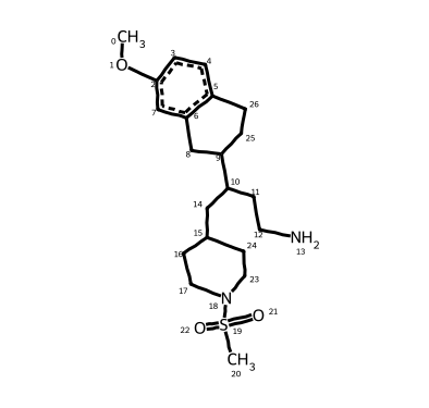 COc1ccc2c(c1)CC(C(CCN)CC1CCN(S(C)(=O)=O)CC1)CC2